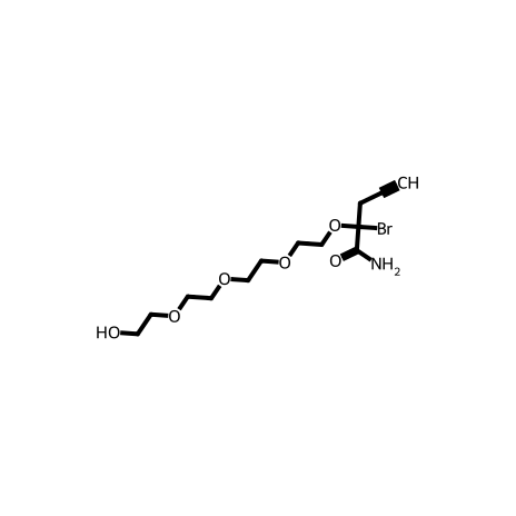 C#CCC(Br)(OCCOCCOCCOCCO)C(N)=O